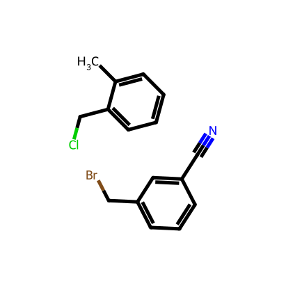 Cc1ccccc1CCl.N#Cc1cccc(CBr)c1